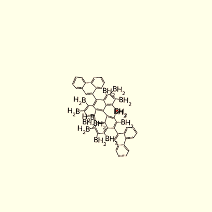 Bc1c(B)c(B)c2c(-c3c4c(B)c(B)c(B)c(B)c4c(-c4cc5ccccc5c5ccccc45)c4c(B)c(B)c(B)c(B)c34)c(B)c(B)c(-c3cc4ccccc4c4ccccc34)c2c1B